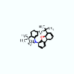 CN(c1ccccc1[Si](C)(C)C)c1cccc2c1oc1c(C(C)(C)C)cccc12